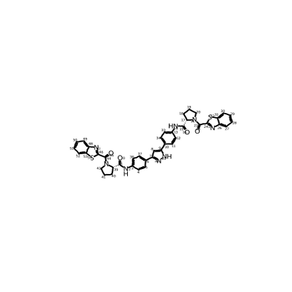 O=C(Nc1ccc(-c2cc(-c3ccc(NC(=O)[C@@H]4CCCN4C(=O)c4nc5ccccc5s4)cc3)[nH]n2)cc1)[C@@H]1CCCN1C(=O)c1nc2ccccc2s1